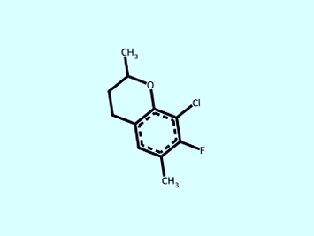 Cc1cc2c(c(Cl)c1F)OC(C)CC2